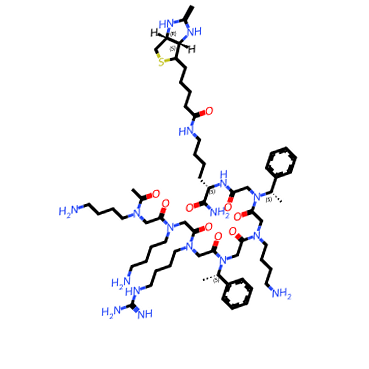 C=C1N[C@H]2CSC(CCCCC(=O)NCCCC[C@H](NC(=O)CN(C(=O)CN(CCCCN)C(=O)CN(C(=O)CN(CCCCNC(=N)N)C(=O)CN(CCCCN)C(=O)CN(CCCCN)C(C)=O)[C@@H](C)c3ccccc3)[C@@H](C)c3ccccc3)C(N)=O)[C@H]2N1